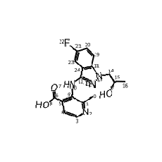 Cc1nccc(C(=O)O)c1Nc1nn(CC(C)O)c2ccc(F)cc12